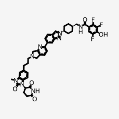 Cn1c(=O)n(C2CCC(=O)NC2=O)c2ccc(CCCN3Cc4ccc(-c5ccc6cn([C@H]7CC[C@H](CNC(=O)c8cc(F)c(O)c(F)c8F)CC7)nc6c5)nc4C3)cc21